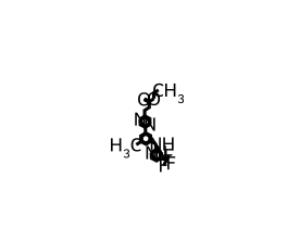 CCOC(=O)CCc1cnc(-c2cc(C)cc(Nc3nccc(C(F)(F)F)n3)c2)cn1